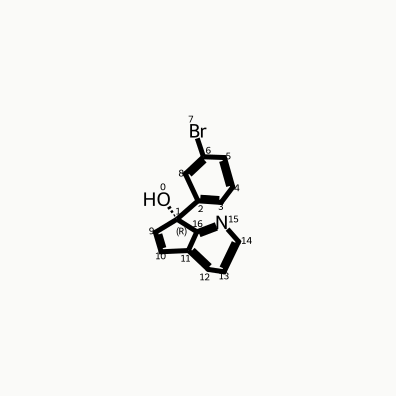 O[C@@]1(c2cccc(Br)c2)C=Cc2cccnc21